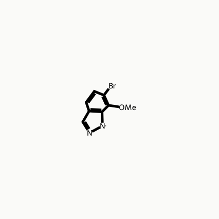 COc1c(Br)ccc2c1[N]N=C2